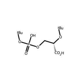 CC(C)(C)O[C@@H](COP(=O)(O)OC(C)(C)C)C(=O)O